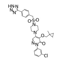 CC1(COc2c(N3CCN(S(=O)(=O)Cc4ccc(-c5nn[nH]n5)cc4)CC3)cnn(-c3cccc(Cl)c3)c2=O)CC1